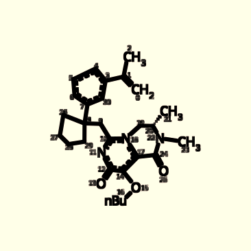 C=C(C)c1cccc(C2(Cc3nc(=O)c(OCCCC)c4n3C[C@H](C)N(C)C4=O)CCCC2)c1